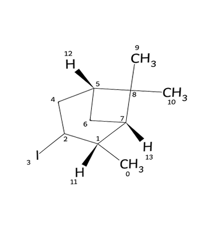 C[C@@H]1C(I)C[C@H]2C[C@@H]1C2(C)C